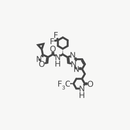 O=C(NC(c1cn2nc(CC3C[C@H](C(F)(F)F)CNC3=O)ccc2n1)[C@H]1CCCC(F)(F)C1)c1conc1C1CC1